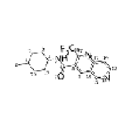 C[C@H]1CC[C@H](NC(=O)c2cc3cnccc3nc2C(F)(F)F)CC1